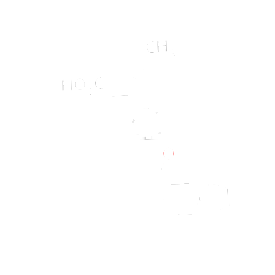 CC#CC(CC(=O)O)c1ccc(OCC2CCCC3(CCCC3)C2)cc1